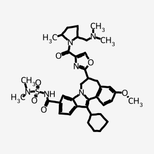 COc1ccc2c(c1)CC(c1nc(C(=O)N3C(C)CCC3CN(C)C)co1)Cn1c-2c(C2CCCCC2)c2ccc(C(=O)NS(=O)(=O)N(C)C)cc21